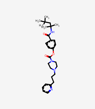 CC(C)(C)CC(C)(C)NC(=O)c1ccc(OC(=O)N2CCN(CCCc3ccccn3)CC2)cc1